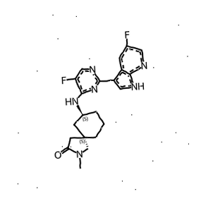 CN1C[C@]2(CCC[C@H](Nc3nc(-c4c[nH]c5ncc(F)cc45)ncc3F)C2)CC1=O